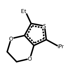 CCc1sc(C(C)C)c2c1OCCO2